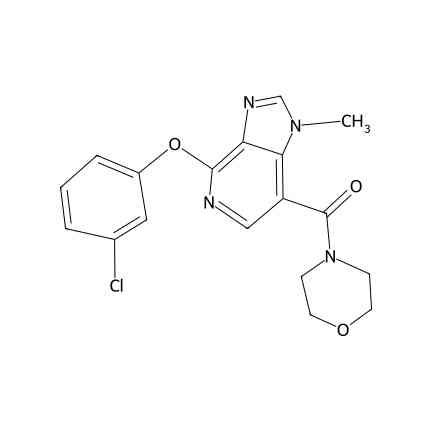 Cn1cnc2c(Oc3cccc(Cl)c3)ncc(C(=O)N3CCOCC3)c21